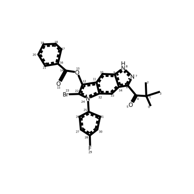 CC(C)(C)C(=O)c1n[nH]c2cc3c(OC(=O)c4ccccc4)c(Br)n(-c4ccc(F)cc4)c3cc12